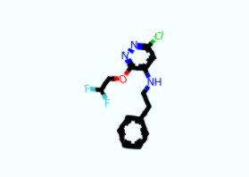 FC(F)COc1nnc(Cl)cc1NCCc1ccccc1